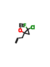 C=CCC1(OCC)CC1(F)Cl